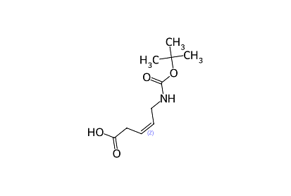 CC(C)(C)OC(=O)NC/C=C\CC(=O)O